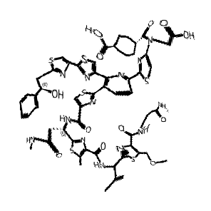 CNC(=O)C[C@H](NC(=O)c1csc(-c2ccc(-c3nc(N(CC(=O)O)C(=O)[C@H]4CC[C@H](C(=O)O)CC4)cs3)nc2-c2csc(-c3csc(C[C@@H](O)c4ccccc4)n3)n2)n1)c1nc(C(=O)NC(c2nc(C(=O)NCC(N)=O)c(COC)s2)C(C)C)c(C)s1